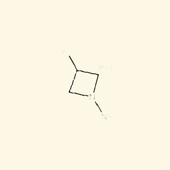 Cl.NN1CC(O)C1